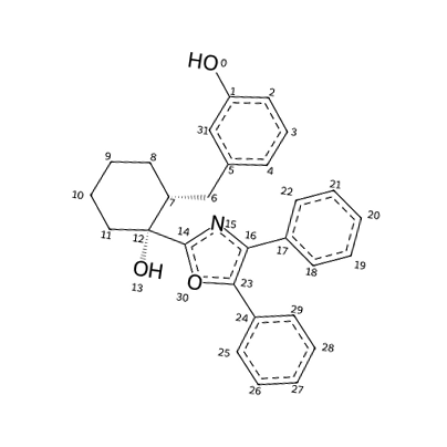 Oc1cccc(C[C@H]2CCCC[C@]2(O)c2nc(-c3ccccc3)c(-c3ccccc3)o2)c1